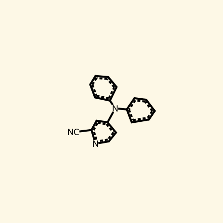 N#Cc1cc(N(c2ccccc2)c2ccccc2)ccn1